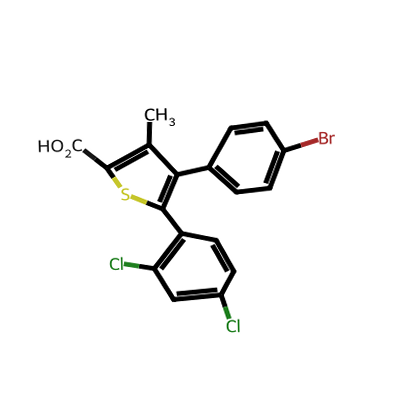 Cc1c(C(=O)O)sc(-c2ccc(Cl)cc2Cl)c1-c1ccc(Br)cc1